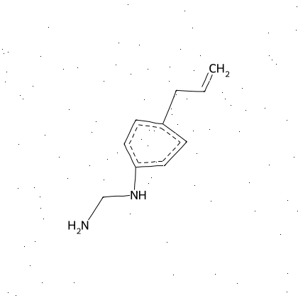 C=CCc1ccc(NCN)cc1